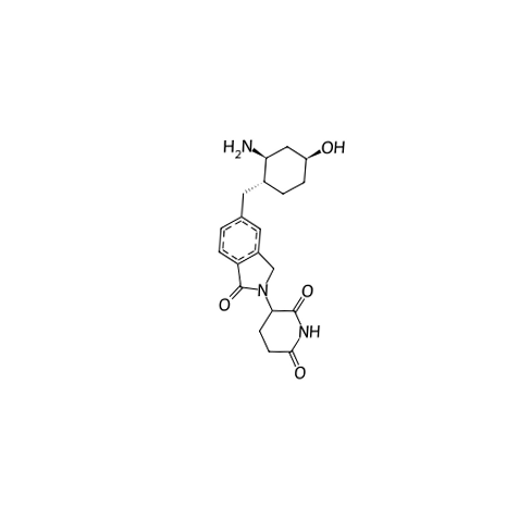 N[C@H]1C[C@@H](O)CC[C@@H]1Cc1ccc2c(c1)CN(C1CCC(=O)NC1=O)C2=O